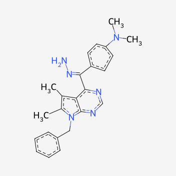 Cc1c(C)n(Cc2ccccc2)c2ncnc(/C(=N/N)c3ccc(N(C)C)cc3)c12